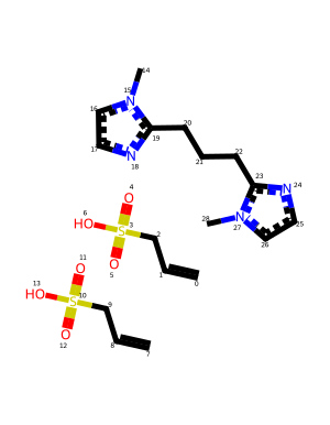 C=CCS(=O)(=O)O.C=CCS(=O)(=O)O.Cn1ccnc1CCCc1nccn1C